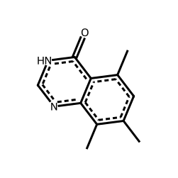 Cc1cc(C)c2c(=O)[nH]cnc2c1C